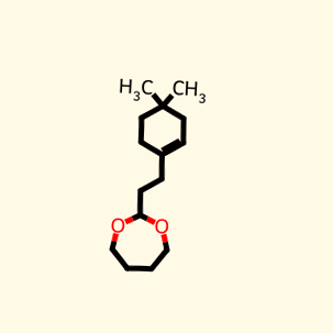 CC1(C)CC=C(CCC2OCCCCO2)CC1